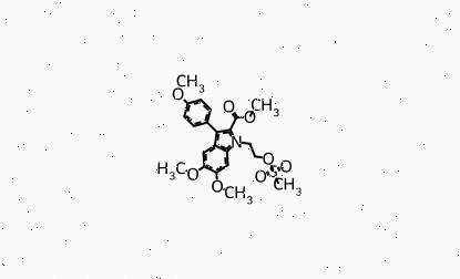 COC(=O)c1c(-c2ccc(OC)cc2)c2cc(OC)c(OC)cc2n1CCOS(C)(=O)=O